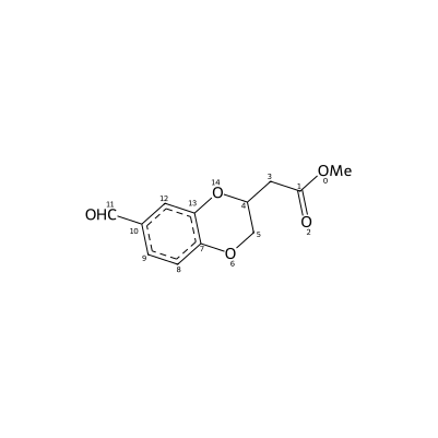 COC(=O)CC1COc2ccc(C=O)cc2O1